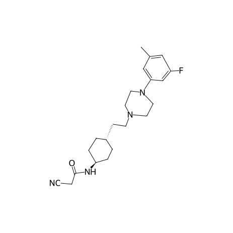 Cc1cc(F)cc(N2CCN(CC[C@H]3CC[C@H](NC(=O)CC#N)CC3)CC2)c1